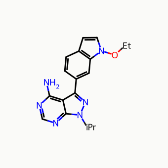 CCOn1ccc2ccc(-c3nn(C(C)C)c4ncnc(N)c34)cc21